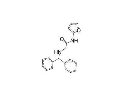 O=C(CNC(c1ccccc1)c1ccccc1)Nc1ccco1